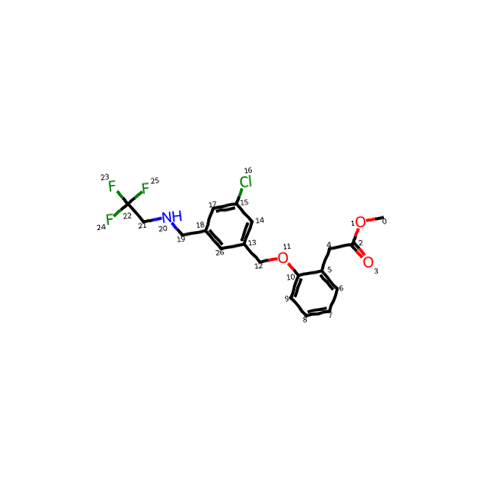 COC(=O)Cc1ccccc1OCc1cc(Cl)cc(CNCC(F)(F)F)c1